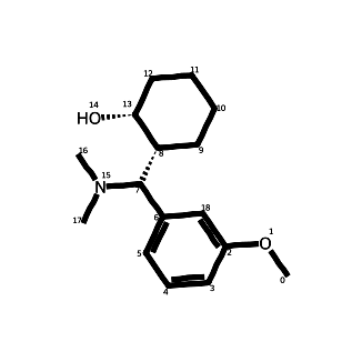 COc1cccc(C([C@H]2CCCC[C@H]2O)N(C)C)c1